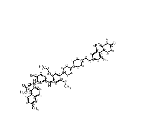 CCOc1cc(N2CCC(N3CCN(CCc4cc(F)c(C5CCC(=O)NC5=O)c(F)c4)CC3)CC2)c(CC)cc1Nc1ncc(Br)c(Nc2ccc3nc(C)ccc3c2P(C)(C)=O)n1